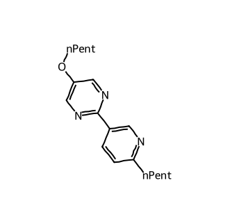 CCCCCOc1cnc(-c2ccc(CCCCC)nc2)nc1